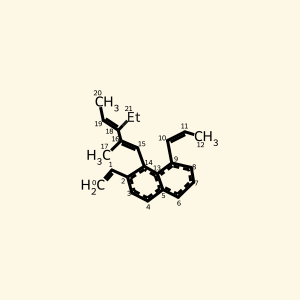 C=Cc1ccc2cccc(/C=C\C)c2c1/C=C(C)/C(=C/C)CC